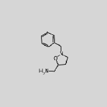 NCC1CCN(Cc2ccccc2)O1